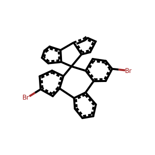 Brc1ccc2c(c1)-c1ccccc1-c1cc(Br)ccc1C21c2ccccc2-c2ccccc21